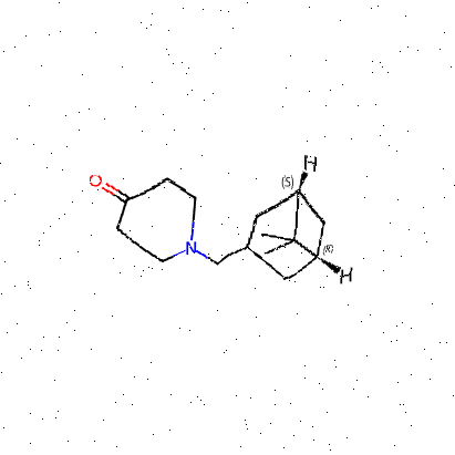 CC1(C)[C@@H]2CC(CN3CCC(=O)CC3)C[C@H]1C2